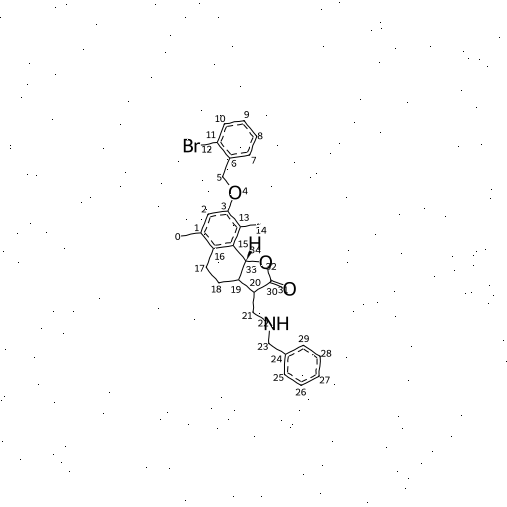 Cc1cc(OCc2ccccc2Br)c(C)c2c1CCC1C(CNCc3ccccc3)C(=O)O[C@@H]21